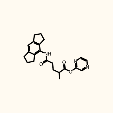 CC(CCC(=O)Nc1c2c(cc3c1CCC3)CCC2)C(=O)Oc1cnccn1